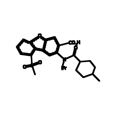 CC1CCC(C(=O)N(c2cc3c(cc2C(=O)O)oc2cccc(S(C)(=O)=O)c23)C(C)C)CC1